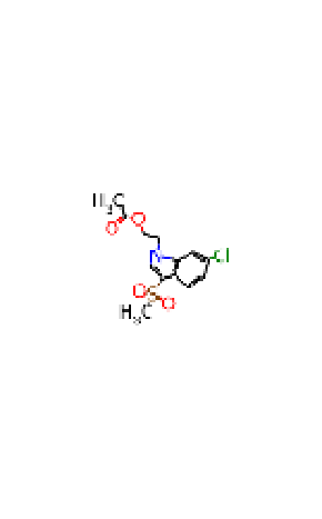 CC(=O)OCCn1cc(S(C)(=O)=O)c2ccc(Cl)cc21